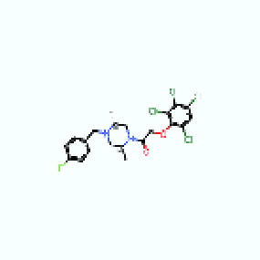 C[C@@H]1CN(C(=O)COc2c(Cl)cc(Cl)c(Cl)c2Cl)[C@@H](C)CN1Cc1ccc(F)cc1